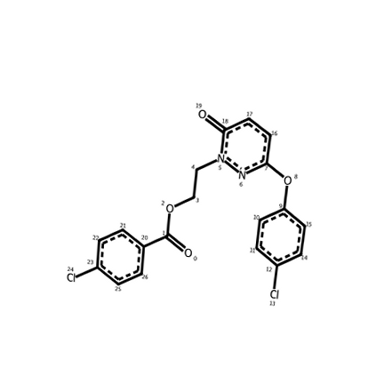 O=C(OCCn1nc(Oc2ccc(Cl)cc2)ccc1=O)c1ccc(Cl)cc1